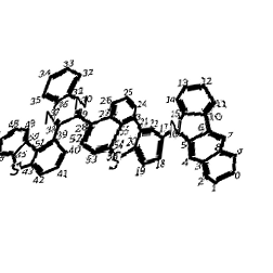 c1ccc2cc3c(cc2c1)c1ccccc1n3-c1ccc2c(c1)-c1cccc3c(-c4nc5ccccc5nc4-c4cccc5sc6ccccc6c45)ccc(c13)S2